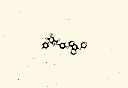 Cn1cc(C(=O)NC2C=CC(Oc3ccnc4cc(OC5CCOCC5)c5c(c34)OCCO5)=C(F)C2)c(=O)n(-c2ccc(F)cc2)c1=O